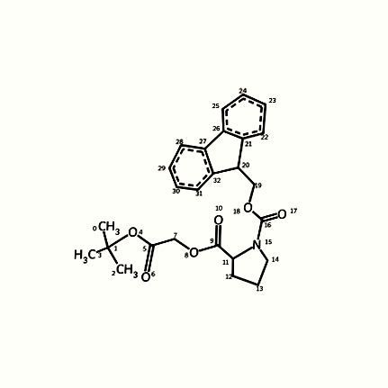 CC(C)(C)OC(=O)COC(=O)C1CCCN1C(=O)OCC1c2ccccc2-c2ccccc21